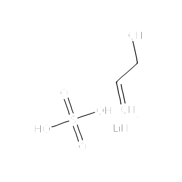 C=CCC.O=S(=O)(O)O.[LiH]